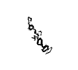 O=C(C=Cc1ccc(CN2CCCC2)cc1)Nc1ccc(-c2ccc(Cl)cc2)cc1